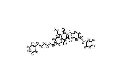 CCCN1C(=O)[C@H](Cc2ccc(OCc3ccccc3)cc2)N(C)C(=O)C12CCN(CCCCCCc1ccccc1)CC2